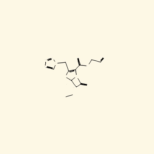 C=CCOC(=O)C1=C(Cn2cnnn2)S[C@@H]2[C@@H](CO)C(=O)N12